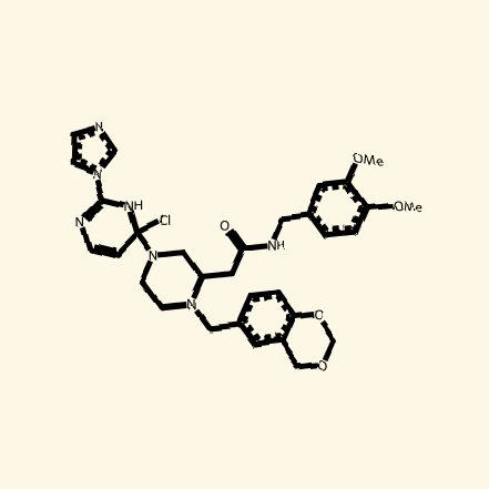 COc1ccc(CNC(=O)CC2CN(C3(Cl)C=CN=C(n4ccnc4)N3)CCN2Cc2ccc3c(c2)COCO3)cc1OC